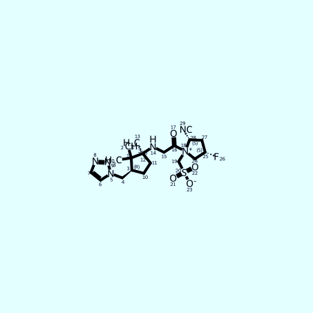 CC1(C)[C@H](Cn2ccnn2)CC[C@]1(C)NCC(=O)[N+]1(CS(=O)(=O)[O-])C[C@@H](F)C[C@H]1C#N